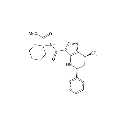 COC(=O)C1(NC(=O)c2cnn3c2N[C@H](c2ccccc2)C[C@@H]3C(F)(F)F)CCCCC1